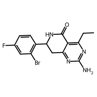 CCc1nc(N)nc2c1C(=O)NC(c1ccc(F)cc1Br)C2